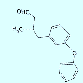 CC(CC=O)Cc1cccc(Oc2ccccc2)c1